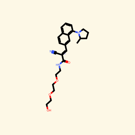 CC1CCCN1c1cccc2ccc(/C=C(\C#N)C(=O)NCCOCCOCCO)cc12